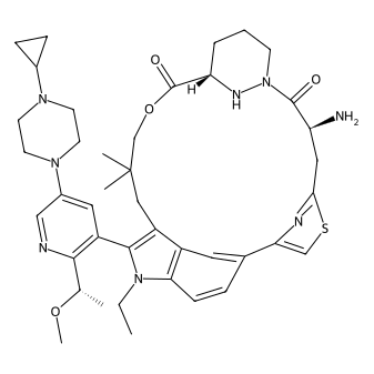 CCn1c(-c2cc(N3CCN(C4CC4)CC3)cnc2[C@H](C)OC)c2c3cc(ccc31)-c1csc(n1)C[C@H](N)C(=O)N1CCC[C@H](N1)C(=O)OCC(C)(C)C2